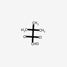 CC(C)(C)C(Cl)(Cl)C=O